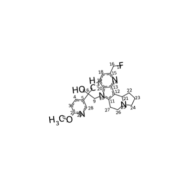 COc1ccc(C(C)(O)Cn2c3c(c4nc(CF)ccc42)C2CCCN2CC3)cn1